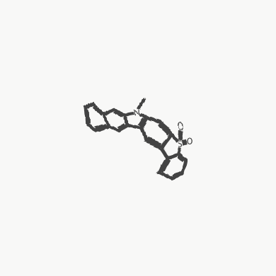 Cn1c2cc3c(cc2c2cc4ccccc4cc21)-c1ccccc1S3(=O)=O